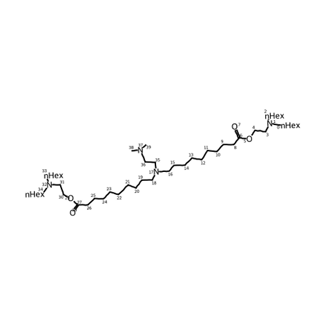 CCCCCCN(CCCCCC)CCOC(=O)CCCCCCCCCN(CCCCCCCCCC(=O)OCCN(CCCCCC)CCCCCC)CCN(C)C